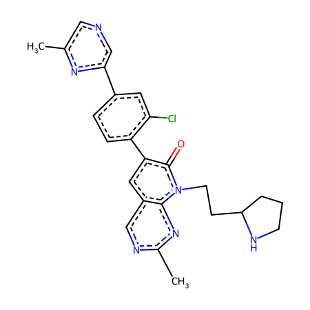 Cc1cncc(-c2ccc(-c3cc4cnc(C)nc4n(CCC4CCCN4)c3=O)c(Cl)c2)n1